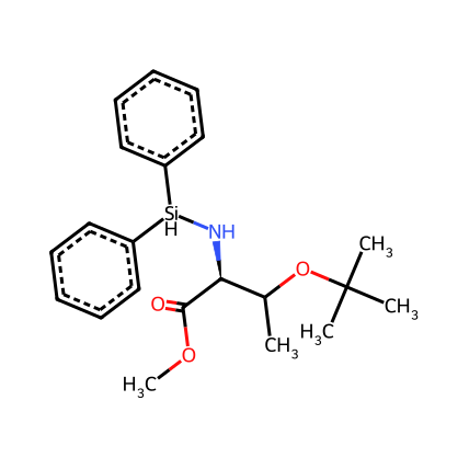 COC(=O)[C@@H](N[SiH](c1ccccc1)c1ccccc1)C(C)OC(C)(C)C